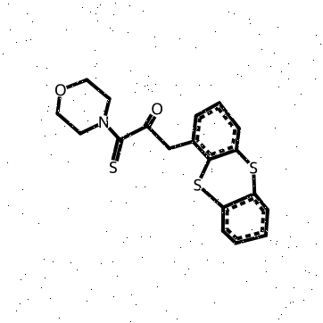 O=C(Cc1cccc2c1Sc1ccccc1S2)C(=S)N1CCOCC1